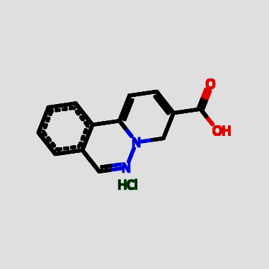 Cl.O=C(O)C1=CC=C2c3ccccc3C=NN2C1